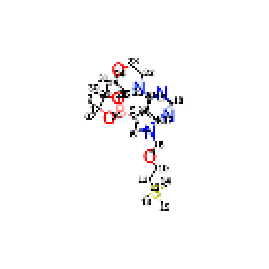 CC1(C)OB(c2cn(COCCS(C)(C)C)c3ncnc(N4CCOCC4)c23)OC1(C)C